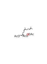 CC(=O)OCC=C(C)CCC=C(C)CCC=C(C)C.CC(=O)OOOC(C)=O